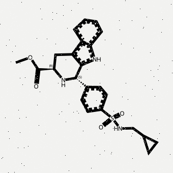 COC(=O)[C@H]1Cc2c([nH]c3ccccc23)[C@H](c2ccc(S(=O)(=O)NCC3CC3)cc2)N1